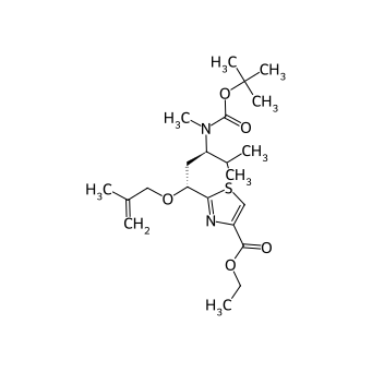 C=C(C)CO[C@H](C[C@H](C(C)C)N(C)C(=O)OC(C)(C)C)c1nc(C(=O)OCC)cs1